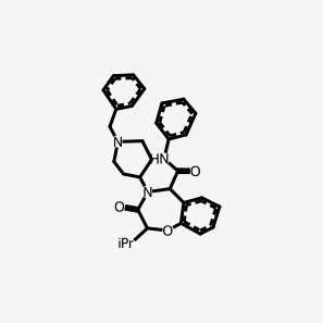 CC(C)C1Oc2ccccc2C(C(=O)Nc2ccccc2)N(C2CCN(Cc3ccccc3)CC2)C1=O